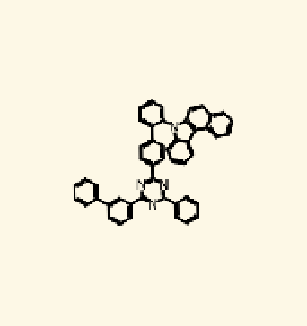 c1ccc(-c2cccc(-c3nc(-c4ccccc4)nc(-c4ccc(-c5ccccc5-n5c6ccccc6c6c7ccccc7ccc65)cc4)n3)c2)cc1